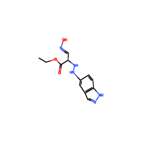 CCOC(=O)C(C=NO)NNc1ccc2[nH]ncc2c1